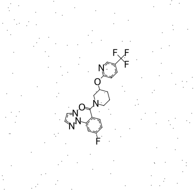 O=C(c1ccc(F)cc1-n1nccn1)N1CCCC(Oc2ccc(C(F)(F)F)cn2)C1